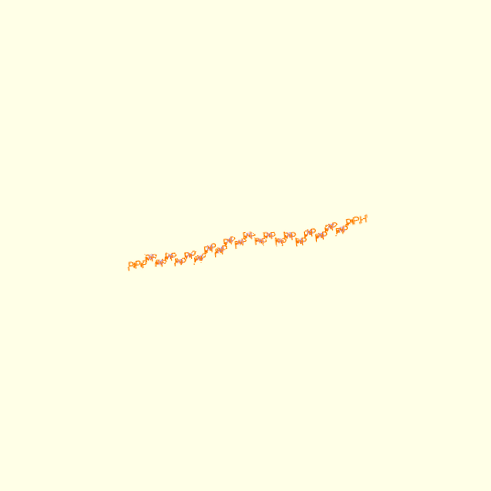 P#P=P\P=P/P=P\P=P/P=P\P=P/P=P\P=P/P=P\P=P/P=P\P=P/P=P\P=P/P=P\P=P/P=P\P=P/P=P\P=P/P=P\P=P